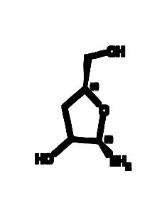 B[C@@H]1O[C@H](CO)CC1O